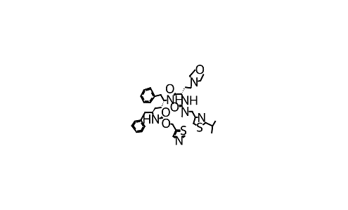 CC(C)C1=NC(CN(C)C(=O)N[C@@H](CCN2CCOCC2)C(=O)N[C@H](CC[C@H](Cc2ccccc2)NC(=O)OCc2cncs2)Cc2ccccc2)CS1